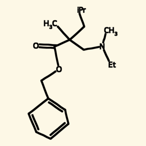 CCN(C)CC(C)(CC(C)C)C(=O)OCc1ccccc1